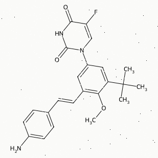 COc1c(/C=C/c2ccc(N)cc2)cc(-n2cc(F)c(=O)[nH]c2=O)cc1C(C)(C)C